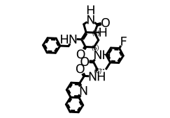 O=C(N[C@@H](Cc1ccc(F)cc1)C(=O)N[C@H]1C[C@H]2C(=O)NCC2=C(NCc2ccccc2)C1=O)c1ccc2ccccc2n1